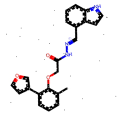 Cc1cccc(-c2ccoc2)c1OCC(=O)N/N=C/c1cccc2[nH]ccc12